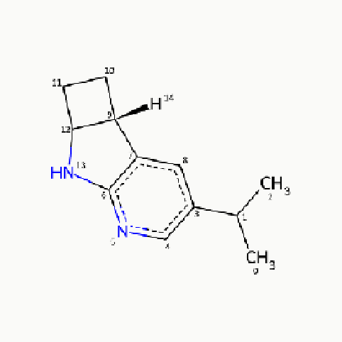 CC(C)c1cnc2c(c1)[C@H]1CCC1N2